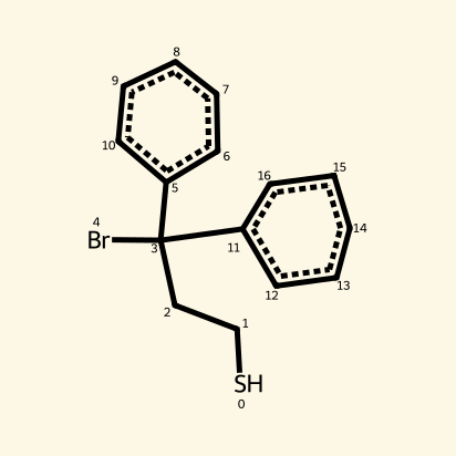 SCCC(Br)(c1ccccc1)c1ccccc1